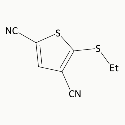 CCSc1sc(C#N)cc1C#N